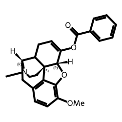 COc1ccc2c3c1O[C@H]1C(OC(=O)c4ccccc4)=CCC4[C@@H](C2)N(C)CC[C@@]341